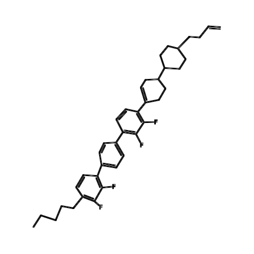 C=CCCC1CCC(C2CC=C(c3ccc(-c4ccc(-c5ccc(CCCCC)c(F)c5F)cc4)c(F)c3F)CC2)CC1